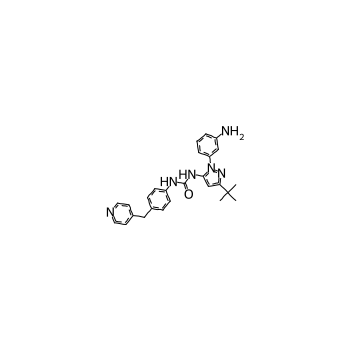 CC(C)(C)c1cc(NC(=O)Nc2ccc(Cc3ccncc3)cc2)n(-c2cccc(N)c2)n1